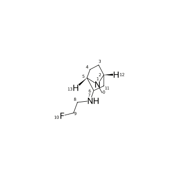 CN1[C@@H]2CC[C@H]1C(NCCF)C2